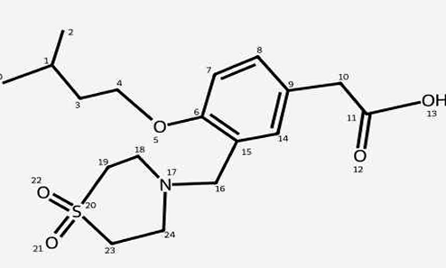 CC(C)CCOc1ccc(CC(=O)O)cc1CN1CCS(=O)(=O)CC1